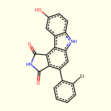 CCc1ccccc1-c1cc2[nH]c3ccc(O)cc3c2c2c1C(=O)NC2=O